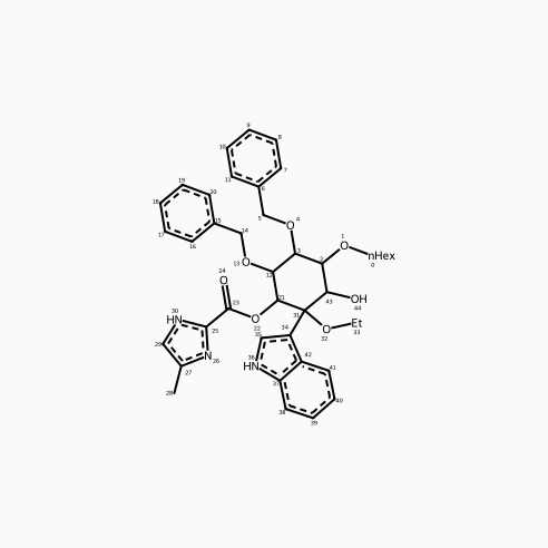 CCCCCCOC1C(OCc2ccccc2)C(OCc2ccccc2)C(OC(=O)c2nc(C)c[nH]2)C(OCC)(c2c[nH]c3ccccc23)C1O